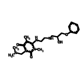 Cc1c(NCCNCC(O)COc2ccccc2)n(C)c(=O)n(CN(C)C)c1=O